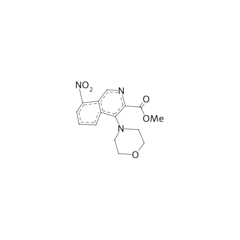 COC(=O)c1ncc2c([N+](=O)[O-])cccc2c1N1CCOCC1